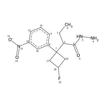 CCC(C(=O)NN)C1(c2cccc([N+](=O)[O-])c2)CC(F)C1